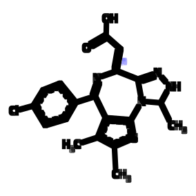 Cc1sc2c(c1C)C(c1ccc(Cl)cc1)=N/C(=C\C(=O)O)C1=NNC(C)N12